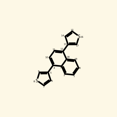 c1ccc2c(-c3ccsc3)ccc(-c3ccsc3)c2c1